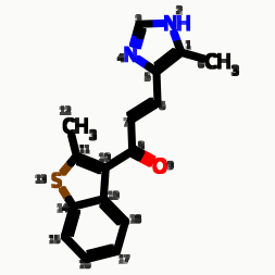 Cc1[nH]cnc1/C=C/C(=O)c1c(C)sc2ccccc12